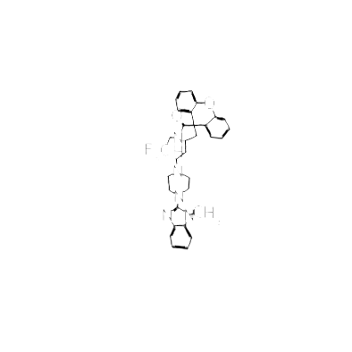 Cn1c(N2CCN(CCCCC3(C(=O)NCC(F)(F)F)c4ccccc4Oc4ccccc43)CC2)nc2ccccc21